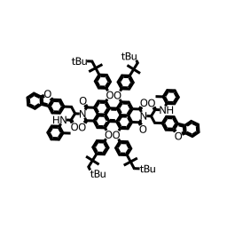 Cc1ccccc1NC(=O)C(Cc1ccc2c(c1)oc1ccccc12)N1C(=O)c2cc(Oc3ccc(C(C)(C)CC(C)(C)C)cc3)c3c4c(Oc5ccc(C(C)(C)CC(C)(C)C)cc5)cc5c6c(cc(Oc7ccc(C(C)(C)CC(C)(C)C)cc7)c(c7c(Oc8ccc(C(C)(C)CC(C)(C)C)cc8)cc(c2c37)C1=O)c64)C(=O)N(C(Cc1ccc2c(c1)oc1ccccc12)C(=O)Nc1ccccc1C)C5=O